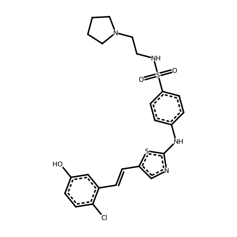 O=S(=O)(NCCN1CCCC1)c1ccc(Nc2ncc(/C=C/c3cc(O)ccc3Cl)s2)cc1